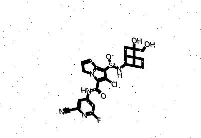 N#Cc1cc(NC(=O)c2c(Cl)c([S+]([O-])NC3C4CCC45C3CC5(O)CO)c3n2CC=C3)cc(F)n1